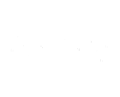 O=S(=O)(c1cccc(C(Br)(Br)Br)n1)c1cccc(C(Br)(Br)Br)n1